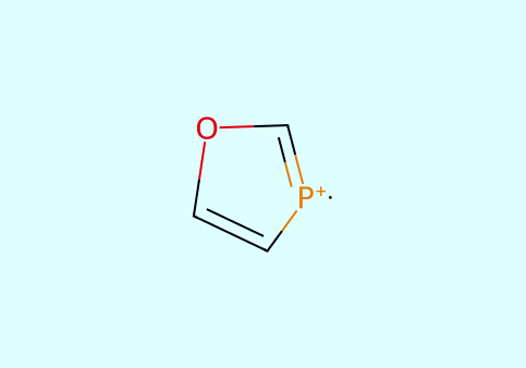 C1=C[P+]=CO1